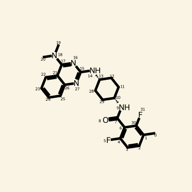 Cc1ccc(F)c(C(=O)N[C@H]2CC[C@@H](Nc3nc(N(C)C)c4ccccc4n3)CC2)c1F